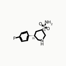 NS(=O)(=O)[C@@H]1CNC[C@H](c2ccc(F)cc2)C1